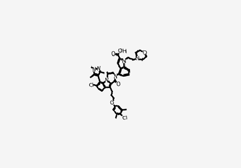 Cc1cc(OCCCc2c3n(c4c(-c5c(C)nn(C)c5C)c(Cl)ccc24)C(C)CN(c2cccc4c2cc(C(=O)O)n4CCN2CCOCC2)C3=O)cc(C)c1Cl